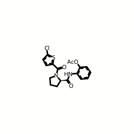 CC(=O)Oc1ccccc1NC(=O)[C@H]1CCCN1C(=O)c1ccc(Cl)s1